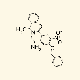 CC(c1ccccc1)N(CCN)C(=O)c1ccc(OCc2ccccc2)c([N+](=O)[O-])c1